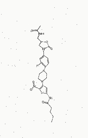 CCCCC(=O)Nc1cc(N2CCN(c3ccc(N4CC(CNC(C)=O)OC4=O)cc3F)CC2)c([N+](=O)[O-])s1